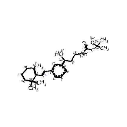 CC1=C(/C=C/c2cccc(C(O)CCNC(=O)OC(C)(C)C)c2)C(C)(C)CCC1